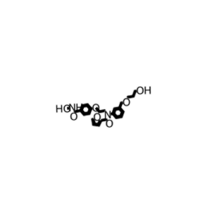 O=C(NO)c1ccc(OCCN(C(=O)c2ccco2)c2cccc(COCCCO)c2)cc1